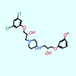 COc1cccc(OC[C@H](O)CNC2CCN(C[C@@H](O)COc3cc(Cl)cc(Cl)c3)CC2)c1